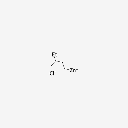 CCC(C)C[CH2][Zn+].[Cl-]